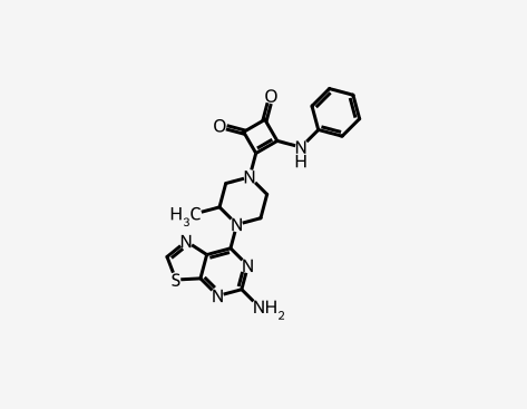 CC1CN(c2c(Nc3ccccc3)c(=O)c2=O)CCN1c1nc(N)nc2scnc12